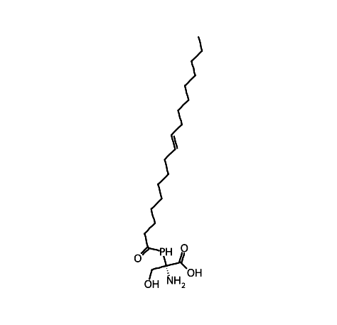 CCCCCCCCC=CCCCCCCCC(=O)P[C@](N)(CO)C(=O)O